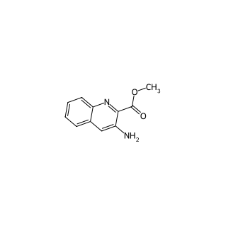 COC(=O)c1nc2ccccc2cc1N